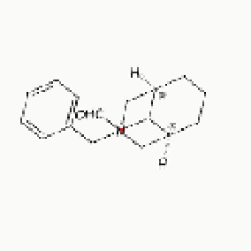 O=CCC1[C@@H]2CCC[C@H]1CN(Cc1ccccc1)C2